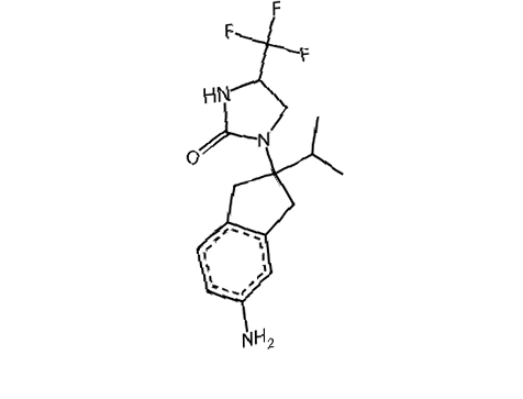 CC(C)C1(N2CC(C(F)(F)F)NC2=O)Cc2ccc(N)cc2C1